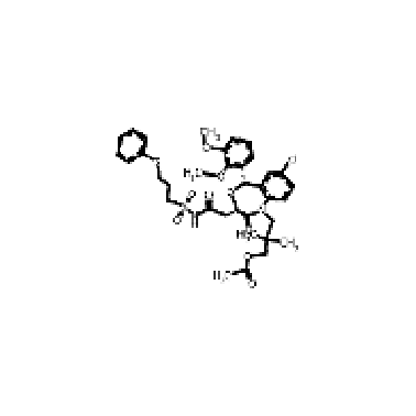 COc1cccc([C@H]2O[C@H](CC(=O)NS(=O)(=O)CCCSc3ccccc3)C(=O)N(CC(C)(C)COC(C)=O)c3ccc(Cl)cc32)c1OC